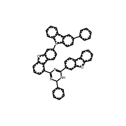 c1ccc(-c2ccc3c(c2)c2ccccc2n3-c2ccc3c(c2)oc2cccc(C4=NC(c5ccccc5)NC(c5ccc6c(c5)oc5ccccc56)=N4)c23)cc1